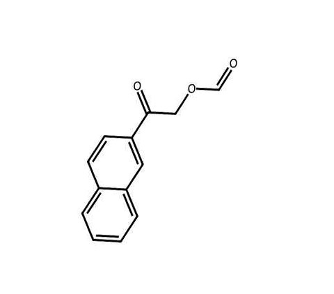 O=COCC(=O)c1ccc2ccccc2c1